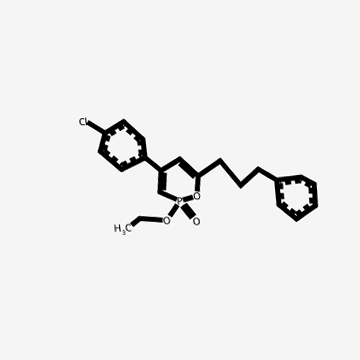 CCOP1(=O)C=C(c2ccc(Cl)cc2)C=C(CCCc2ccccc2)O1